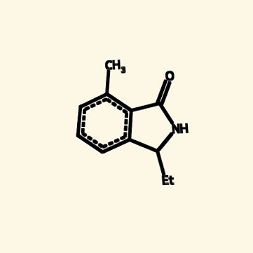 CCC1NC(=O)c2c(C)cccc21